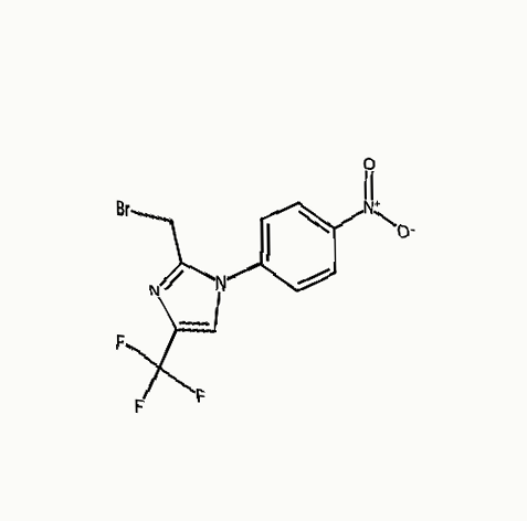 O=[N+]([O-])c1ccc(-n2cc(C(F)(F)F)nc2CBr)cc1